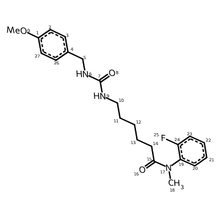 COc1ccc(CNC(=O)NCCCCCC(=O)N(C)c2ccccc2F)cc1